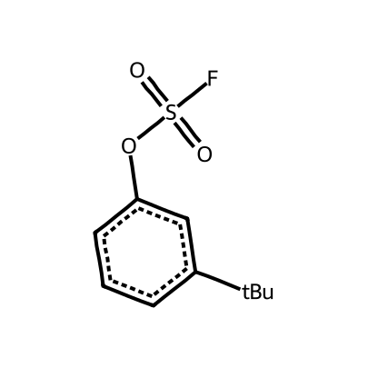 CC(C)(C)c1cccc(OS(=O)(=O)F)c1